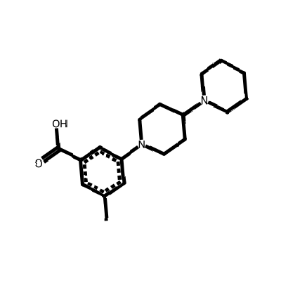 Cc1cc(C(=O)O)cc(N2CCC(N3CCCCC3)CC2)c1